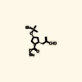 C=C(C=O)C[C@H]1C[C@@H](O[Si](C)(C)C(C)(C)C)CN1C(=O)OC(C)(C)C